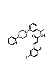 CC(NC(=O)C=Cc1cc(F)ccc1F)c1cccc(N2CCN(c3ccccn3)CC2)c1